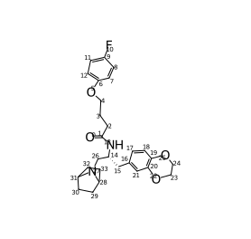 O=C(CCCOc1ccc(F)cc1)N[C@H](Cc1ccc2c(c1)OCCO2)CN1C2CCC1CC2